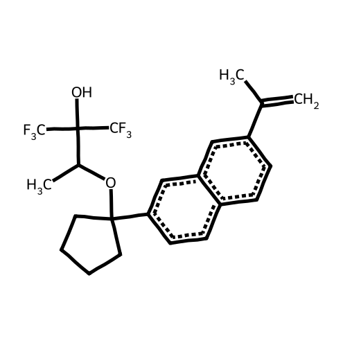 C=C(C)c1ccc2ccc(C3(OC(C)C(O)(C(F)(F)F)C(F)(F)F)CCCC3)cc2c1